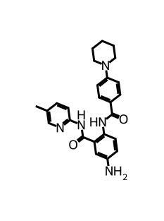 Cc1ccc(NC(=O)c2cc(N)ccc2NC(=O)c2ccc(N3CCCCC3)cc2)nc1